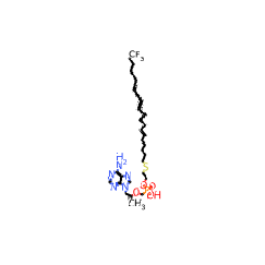 C[C@H](Cn1cnc2c(N)ncnc21)OCP(=O)(O)OCCSCCCCCCCCCCCCCCCCCC(F)(F)F